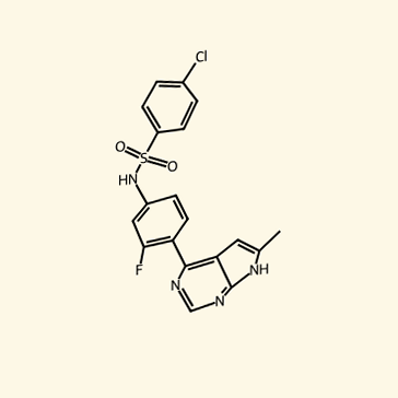 Cc1cc2c(-c3ccc(NS(=O)(=O)c4ccc(Cl)cc4)cc3F)ncnc2[nH]1